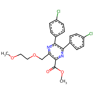 COCCOCc1nc(-c2ccc(Cl)cc2)c(-c2ccc(Cl)cc2)nc1C(=O)OC